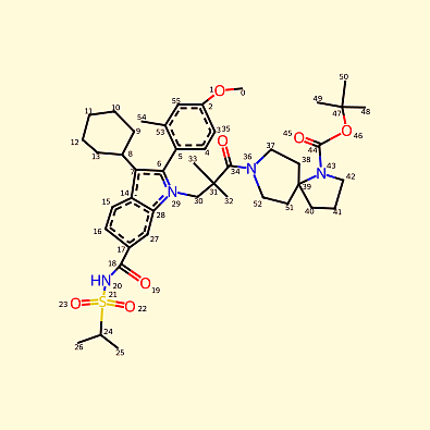 COc1ccc(-c2c(C3CCCCC3)c3ccc(C(=O)NS(=O)(=O)C(C)C)cc3n2CC(C)(C)C(=O)N2CCC3(CCCN3C(=O)OC(C)(C)C)CC2)c(C)c1